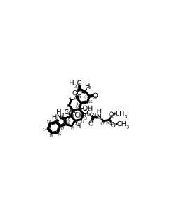 C=C1O[C@@]23CC[C@]4(C)[C@@]5(C)c6[nH]c7ccccc7c6C[C@@H]5C[C@H](OC(=O)NCC(OC)OC)[C@@]4(O)C2=CC(=O)[C@@H]1O3